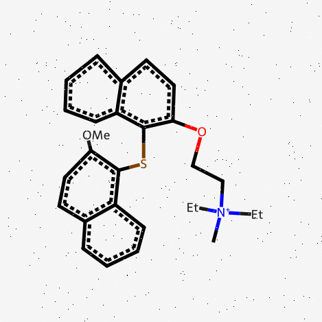 CC[N+](C)(CC)CCOc1ccc2ccccc2c1Sc1c(OC)ccc2ccccc12